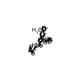 Cc1ccccc1N1CCN(c2ccc(C(=O)NCCCN3C(=O)CCC3=O)cc2NC(=O)c2ccco2)CC1